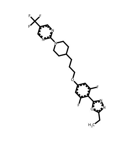 CCc1nnc(-c2c(F)cc(OCCCC3CCN(c4ncc(C(F)(F)F)cn4)CC3)cc2F)o1